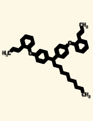 CC=Cc1ccccc1Oc1ccc(C(CCCCCCCCC)c2ccc(Oc3ccccc3C=CC)cc2)cc1